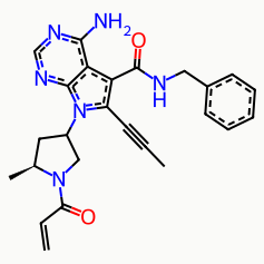 C=CC(=O)N1CC(n2c(C#CC)c(C(=O)NCc3ccccc3)c3c(N)ncnc32)C[C@@H]1C